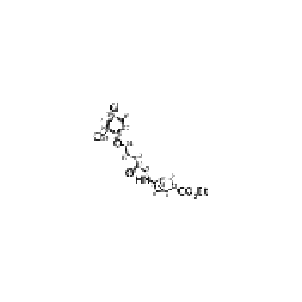 CCOC(=O)C1CC2CC1CC2NCC(=O)CCCOc1ccc(Cl)cc1Cl